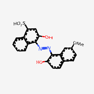 COc1ccc2ccc(O)c(/N=N/c3c(O)cc(S(=O)(=O)O)c4ccccc34)c2c1